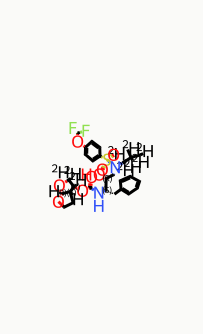 [2H]C([2H])([2H])C([2H])(C)C([2H])([2H])N(C[C@@H](O)[C@H](Cc1ccccc1)NC(=O)O[C@]1([2H])[C@@H]2CCO[C@@H]2OC1([2H])[2H])S(=O)(=O)c1ccc(OC(F)F)cc1